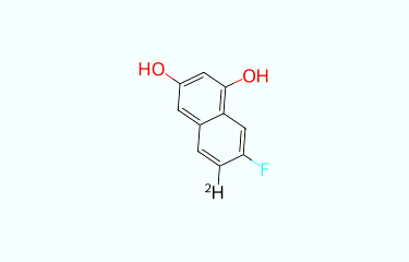 [2H]c1cc2cc(O)cc(O)c2cc1F